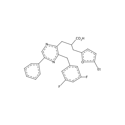 CCc1ccc(CC(Cc2ncc(-c3ccccc3)nc2Cc2cc(F)cc(F)c2)C(=O)O)o1